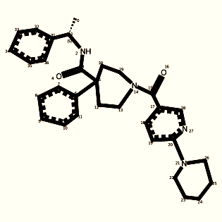 C[C@H](NC(=O)C1(c2ccccc2)CCN(C(=O)c2ccc(N3CCCCC3)nc2)CC1)c1ccccc1